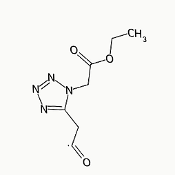 CCOC(=O)Cn1nnnc1C[C]=O